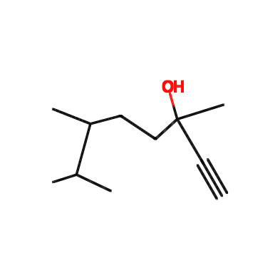 C#CC(C)(O)CCC(C)C(C)C